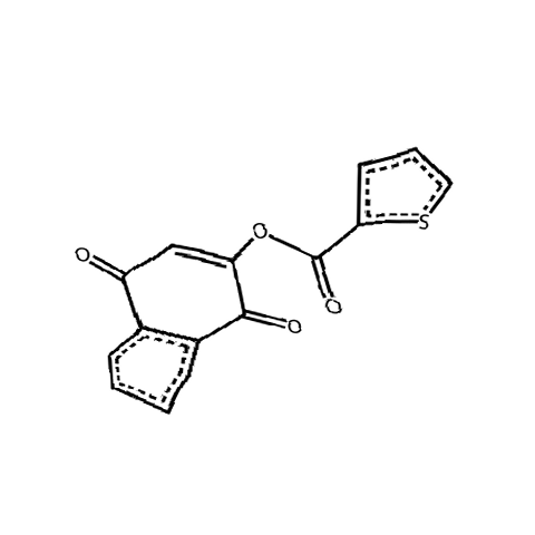 O=C(OC1=CC(=O)c2ccccc2C1=O)c1cccs1